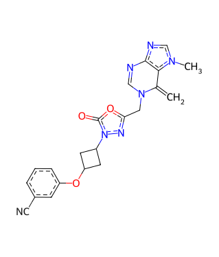 C=C1c2c(ncn2C)N=CN1Cc1nn(C2CC(Oc3cccc(C#N)c3)C2)c(=O)o1